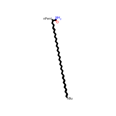 CCCCC=CC=CC=CC=CC=CCCCCCCCCCCCCCCCCCCCC=CCCC(CCCCC)C(N)=O